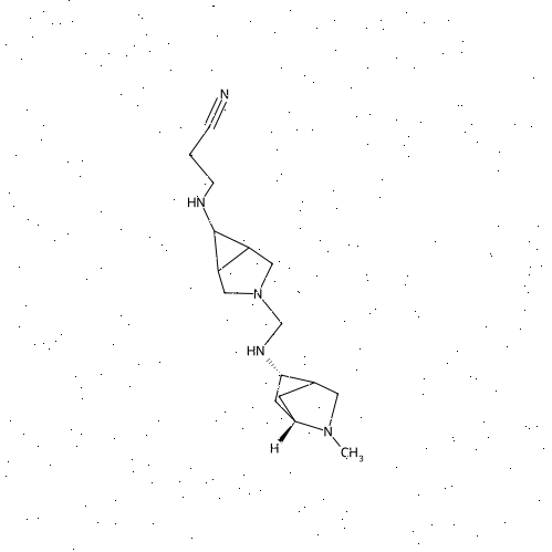 CN1CC2C[C@H]1C[C@@H]2NCN1CC2C(C1)C2NCCC#N